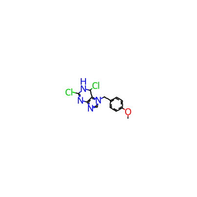 COc1ccc(Cn2cnc3c2C(Cl)NC(Cl)=N3)cc1